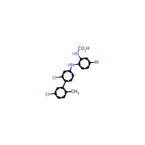 Cc1ccc(Cl)cc1-c1ccc(Nc2ccc(Br)cc2NC(=O)O)cc1Cl